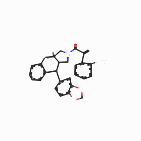 C=C(C(=O)N1CC2C3(c4ccc5c(c4)OCO5)CCC(c4ccccc43)C2(C(=O)O)C1)c1ccccc1OC